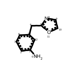 Nc1cccc(Cc2ncco2)c1